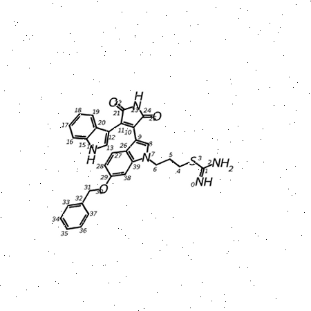 N=C(N)SCCCn1cc(C2=C(c3c[nH]c4ccccc34)C(=O)NC2=O)c2ccc(OCc3ccccc3)cc21